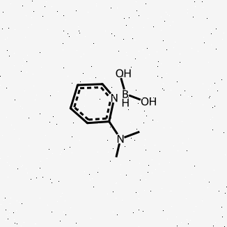 CN(C)c1ccccn1.OBO